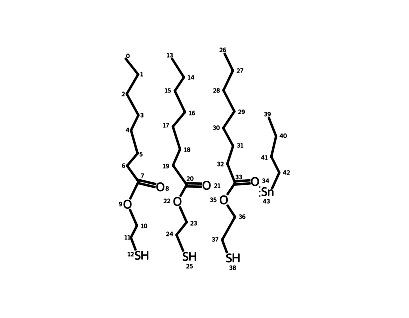 CCCCCCCC(=O)OCCS.CCCCCCCC(=O)OCCS.CCCCCCCC(=O)OCCS.CCC[CH2][Sn]